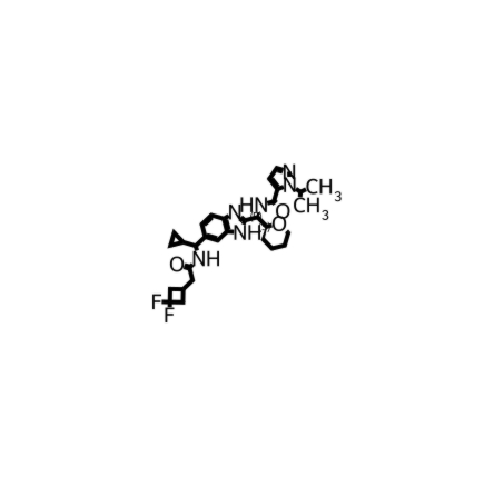 CC(C)n1nccc1C(=O)N[C@H](c1nc2ccc(C(NC(=O)CC3CC(F)(F)C3)C3CC3)cc2[nH]1)[C@@H]1CCCCO1